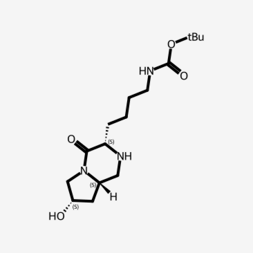 CC(C)(C)OC(=O)NCCCC[C@@H]1NC[C@@H]2C[C@H](O)CN2C1=O